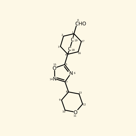 O=CC12CCC(c3nc(C4CCOCC4)no3)(CC1)CC2